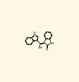 CCCC(=C1C(=O)Nc2ccccc21)c1c[nH]c2ccccc12